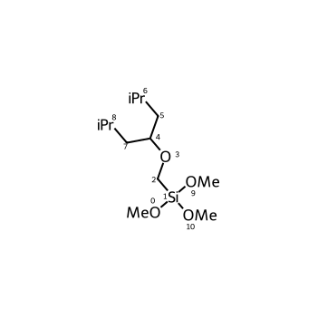 CO[Si](COC(CC(C)C)CC(C)C)(OC)OC